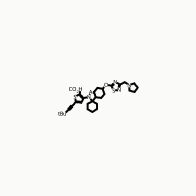 CC(=O)N(c1cc(C#CC(C)(C)C)sc1C(=O)O)C1(C2CCC(Oc3nc(CN4CCCC4)ns3)CC2)CCCCC1